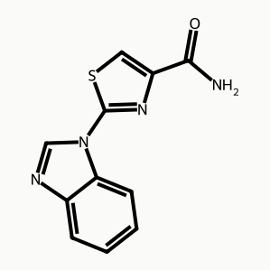 NC(=O)c1csc(-n2cnc3ccccc32)n1